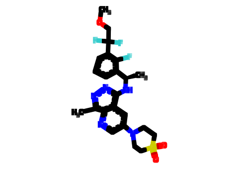 COCC(F)(F)c1cccc([C@@H](C)Nc2nnc(C)c3ncc(N4CCS(=O)(=O)CC4)cc23)c1F